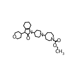 CCOC(=O)N1CCCC(N2CCC(N3C(=O)C(C4CCOCC4)C4=C3CCCC4)CC2)CC1